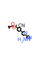 CC(OC(=O)C1CC1)c1ccc(-c2ccc(-c3cnn(C)c3N)nc2)cc1C#N